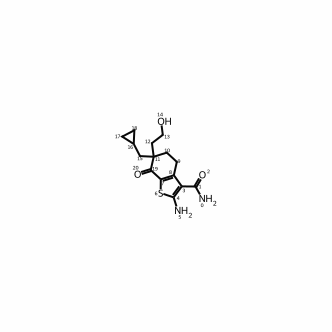 NC(=O)c1c(N)sc2c1CCC(CCO)(CC1CC1)C2=O